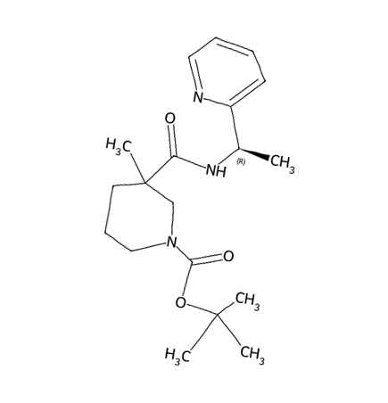 C[C@@H](NC(=O)C1(C)CCCN(C(=O)OC(C)(C)C)C1)c1ccccn1